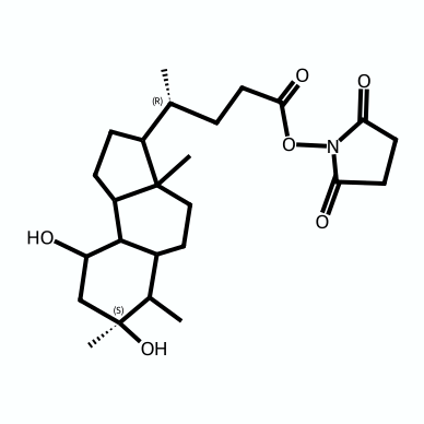 CC1C2CCC3(C)C(CCC3[C@H](C)CCC(=O)ON3C(=O)CCC3=O)C2C(O)C[C@]1(C)O